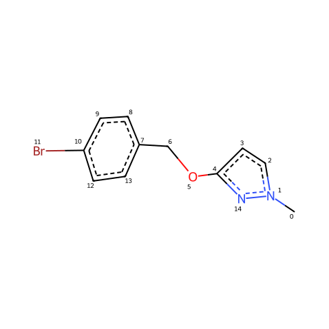 Cn1ccc(OCc2ccc(Br)cc2)n1